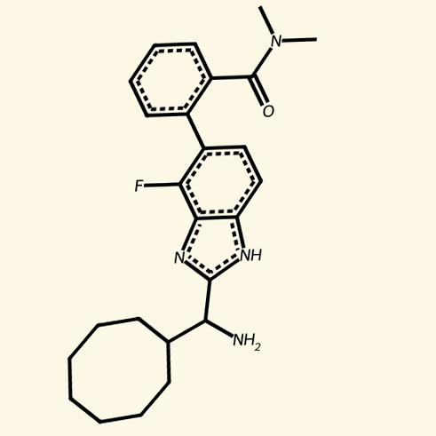 CN(C)C(=O)c1ccccc1-c1ccc2[nH]c(C(N)C3CCCCCCC3)nc2c1F